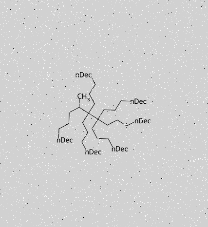 CCCCCCCCCCCCCC(C)C(CCCCCCCCCCCCC)(CCCCCCCCCCCCC)C(CCCCCCCCCCCCC)(CCCCCCCCCCCCC)CCCCCCCCCCCCC